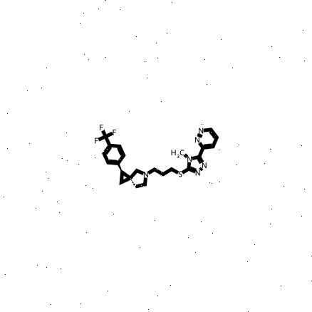 Cn1c(SCCCN2CC[C@@]3(C[C@H]3c3ccc(C(F)(F)F)cc3)C2)nnc1-c1cccnn1